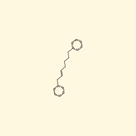 C(=CCc1ccccc1)CCCCc1ccccc1